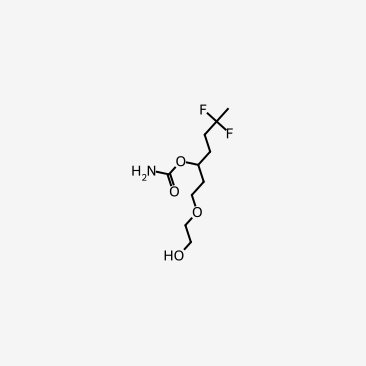 CC(F)(F)CCC(CCOCCO)OC(N)=O